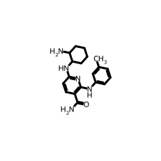 Cc1cccc(Nc2nc(NC3CCCCC3N)ccc2C(N)=O)c1